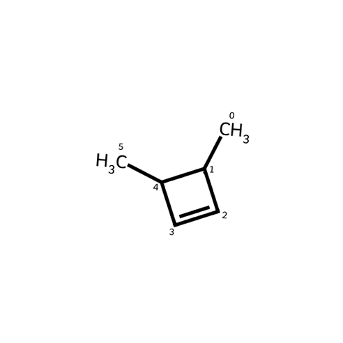 C[C]1C=CC1C